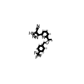 CC(OCc1ccc(C(F)(F)F)cc1)c1cccc(-c2nn[nH]c2C#N)n1